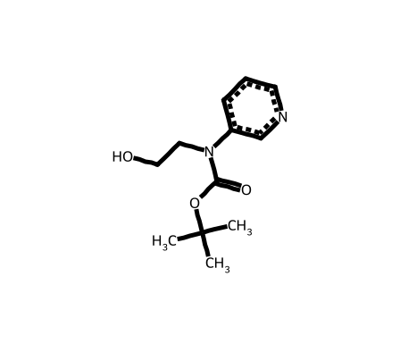 CC(C)(C)OC(=O)N(CCO)c1cccnc1